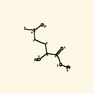 CC(C)OC(=O)C(O)CC[S+](C)[O-]